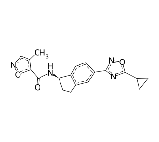 Cc1cnoc1C(=O)N[C@@H]1CCc2cc(-c3noc(C4CC4)n3)ccc21